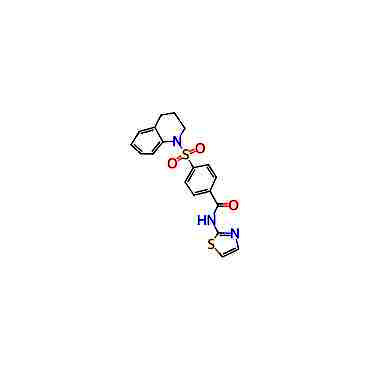 O=C(Nc1nccs1)c1ccc(S(=O)(=O)N2CCCc3ccccc32)cc1